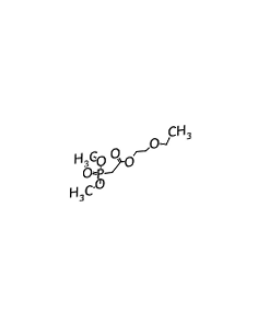 CCOCCOC(=O)CP(=O)(OC)OC